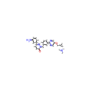 CN(C)C[C@H]1C[C@@H]1COc1cnc(-c2cccc(Cn3nc(-c4cccc(N)c4)ccc3=O)c2)nc1